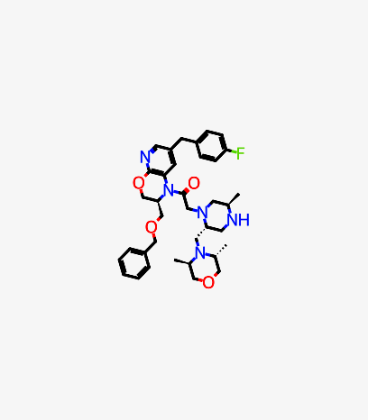 C[C@@H]1CN(CC(=O)N2c3cc(Cc4ccc(F)cc4)cnc3OC[C@@H]2COCc2ccccc2)[C@@H](CN2[C@H](C)COC[C@H]2C)CN1